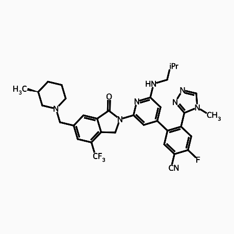 CC(C)CNc1cc(-c2cc(C#N)c(F)cc2-c2nncn2C)cc(N2Cc3c(cc(CN4CCC[C@H](C)C4)cc3C(F)(F)F)C2=O)n1